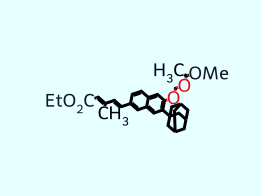 CCOC(=O)/C=C(C)/C=C/c1ccc2cc(OCOC(C)OC)c(C34CC5CC(CC(C5)C3)C4)cc2c1